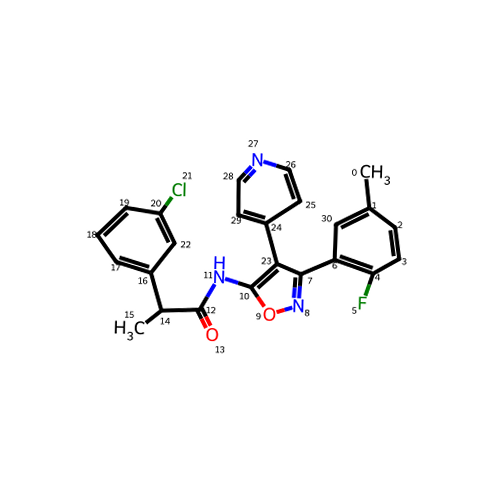 Cc1ccc(F)c(-c2noc(NC(=O)C(C)c3cccc(Cl)c3)c2-c2ccncc2)c1